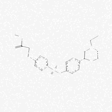 CCN1CCOC(c2ccc(NS(=O)(=O)c3ccc(CCC(=O)OC)cc3)cc2)C1